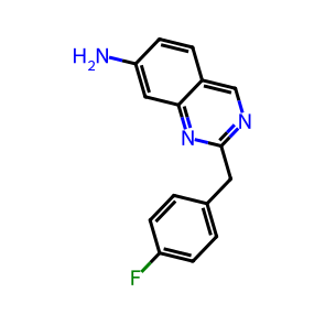 Nc1ccc2cnc(Cc3ccc(F)cc3)nc2c1